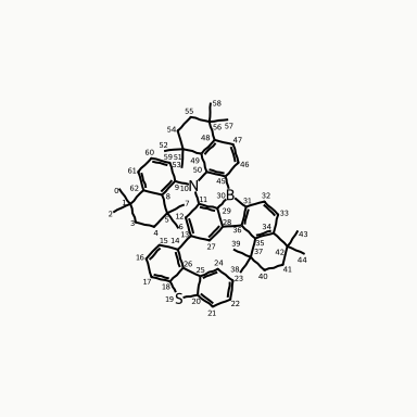 CC1(C)CCC(C)(C)c2c(N3c4cc(-c5cccc6sc7ccccc7c56)cc5c4B(c4ccc6c(c4-5)C(C)(C)CCC6(C)C)c4ccc5c(c43)C(C)(C)CCC5(C)C)cccc21